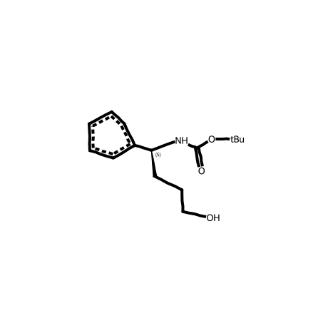 CC(C)(C)OC(=O)N[C@@H](CCCO)c1ccccc1